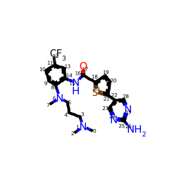 CN(C)CCCN(C)c1ccc(C(F)(F)F)cc1NC(=O)c1ccc(-c2cnc(N)nc2)s1